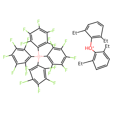 CCc1cccc(CC)c1[OH+]c1c(CC)cccc1CC.Fc1c(F)c(F)c([B-](c2c(F)c(F)c(F)c(F)c2F)(c2c(F)c(F)c(F)c(F)c2F)c2c(F)c(F)c(F)c(F)c2F)c(F)c1F